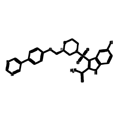 NC(=O)c1[nH]c2ccc(Cl)cc2c1S(=O)(=O)N1CCO[C@H](COc2ccc(-c3cncnc3)cc2)C1